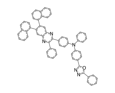 c1ccc(-c2nnc(-c3ccc(N(c4ccccc4)c4ccc(-c5nc6cc(-c7cccc8ccccc78)c(-c7cccc8ccccc78)cc6nc5-c5ccccc5)cc4)cc3)o2)cc1